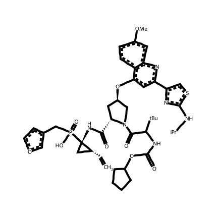 C=C[C@@H]1C[C@]1(NC(=O)[C@@H]1C[C@@H](Oc2cc(-c3csc(NC(C)C)n3)nc3cc(OC)ccc23)CN1C(=O)C(NC(=O)OC1CCCC1)C(C)(C)C)P(=O)(O)Cc1ccoc1